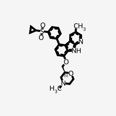 Cc1cnc2[nH]c3c(OC[C@@H]4CN(C)CCO4)ccc(-c4cccc(S(=O)(=O)C5CC5)c4)c3c2c1